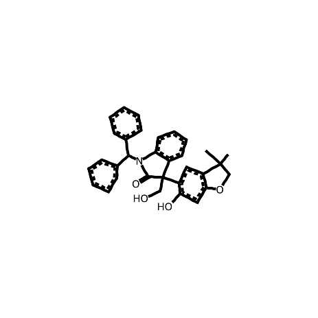 CC1(C)COc2cc(O)c(C3(CO)C(=O)N(C(c4ccccc4)c4ccccc4)c4ccccc43)cc21